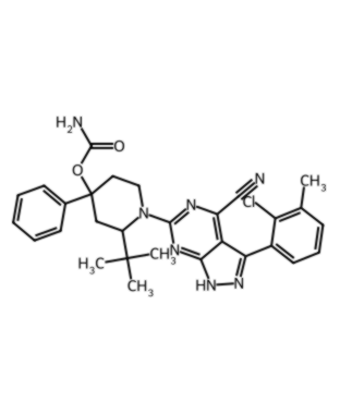 Cc1cccc(-c2n[nH]c3nc(N4CCC(OC(N)=O)(c5ccccc5)CC4C(C)(C)C)nc(C#N)c23)c1Cl